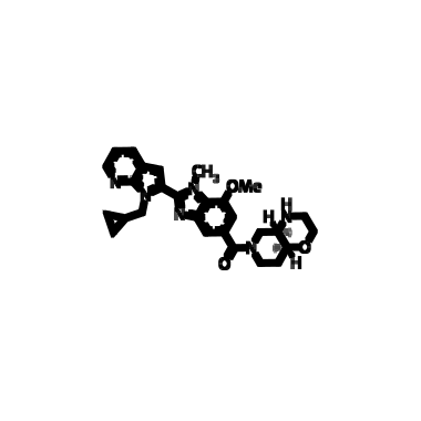 COc1cc(C(=O)N2CC[C@H]3OCCN[C@H]3C2)cc2nc(-c3cc4cccnc4n3CC3CC3)n(C)c12